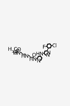 CS(=O)(=O)NCCCNCCC(=O)Nc1cc(Nc2cnnc(-c3cc(Cl)ccc3F)c2)ccn1